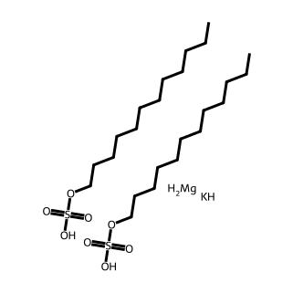 CCCCCCCCCCCCOS(=O)(=O)O.CCCCCCCCCCCCOS(=O)(=O)O.[KH].[MgH2]